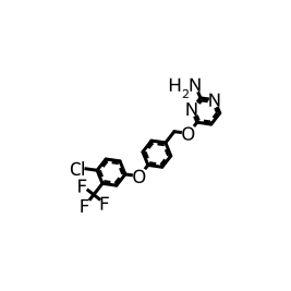 Nc1nccc(OCc2ccc(Oc3ccc(Cl)c(C(F)(F)F)c3)cc2)n1